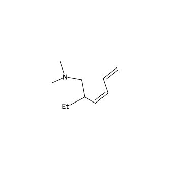 C=C/C=C\C(CC)CN(C)C